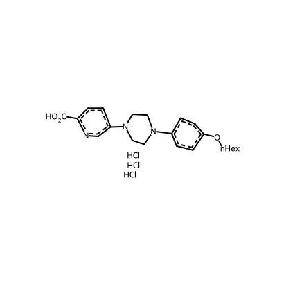 CCCCCCOc1ccc(N2CCN(c3ccc(C(=O)O)nc3)CC2)cc1.Cl.Cl.Cl